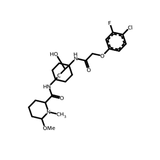 COC1CCCC(C(=O)NC23CCC(NC(=O)COc4ccc(Cl)c(F)c4)(CC2)C(O)C3)N1C